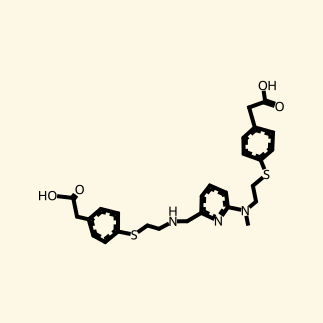 CN(CCSc1ccc(CC(=O)O)cc1)c1cccc(CNCCSc2ccc(CC(=O)O)cc2)n1